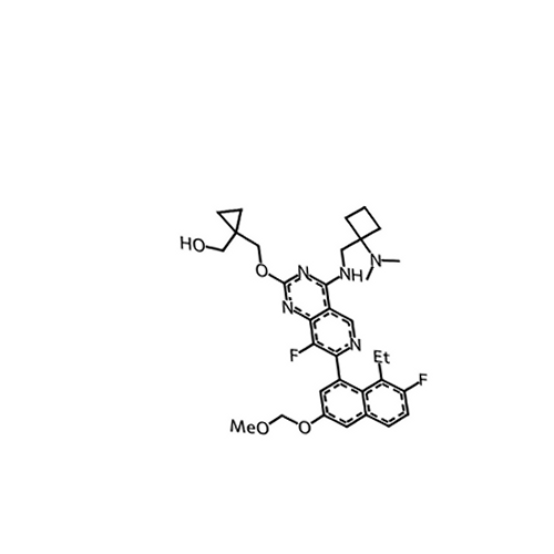 CCc1c(F)ccc2cc(OCOC)cc(-c3ncc4c(NCC5(N(C)C)CCC5)nc(OCC5(CO)CC5)nc4c3F)c12